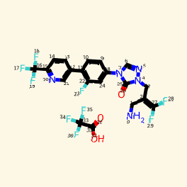 NCC(Cn1ncn(-c2ccc(-c3ccc(C(F)(F)F)nc3)c(F)c2)c1=O)=C(F)F.O=C(O)C(F)(F)F